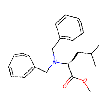 COC(=O)[C@H](CC(C)C)N(Cc1ccccc1)Cc1ccccc1